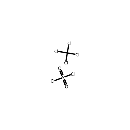 ClC(Cl)(Cl)Cl.O=S(=O)(Cl)Cl